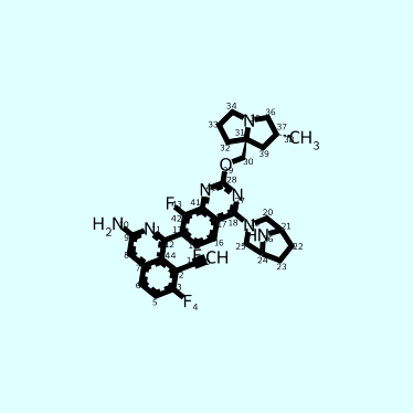 C#Cc1c(F)ccc2cc(N)nc(-c3c(F)cc4c(N5CC6CCC(C5)N6)nc(OC[C@@]56CCCN5C[C@H](C)C6)nc4c3F)c12